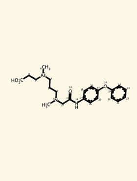 CN(CCC[As](C)CCC(=O)O)CC(=O)Nc1ccc(Oc2ccccc2)cc1